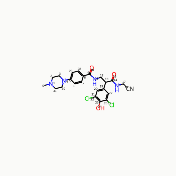 CN1CCN(c2ccc(C(=O)NCC(C(=O)NCC#N)c3cc(Cl)c(O)c(Cl)c3)cc2)CC1